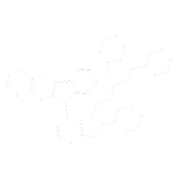 c1ccc(-c2nc(-c3cc4c(oc5cccc(-n6c7ccccc7c7cc8ccccc8cc76)c54)c4ccccc34)nc3ccccc23)cc1